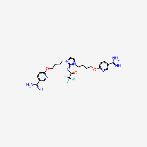 N=C(N)c1ccc(OCCCCn2ccn(CCCCOc3ccc(C(=N)N)cn3)c2=NC(=O)C(F)(F)F)nc1